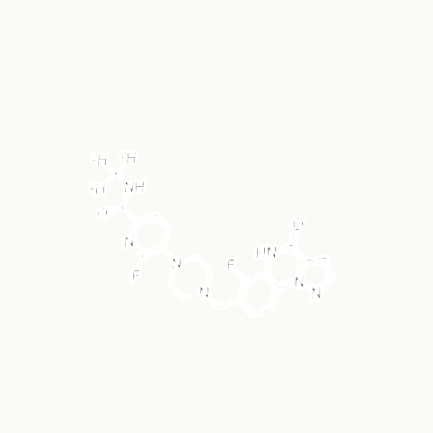 [2H]C([2H])([2H])NC(=O)c1ccc(N2CCN(Cc3ccc4c([nH]c(=O)c5ccnn54)c3F)CC2)c(F)n1